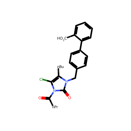 CCCCc1c(Cl)n(C(=O)CCC)c(=O)n1Cc1ccc(-c2ccccc2C(=O)O)cc1